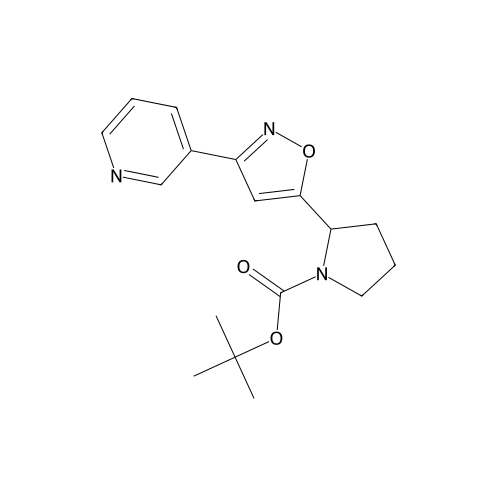 CC(C)(C)OC(=O)N1CCCC1c1cc(-c2cccnc2)no1